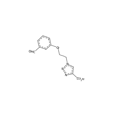 O=Cc1cccc(OCCn2cc(C(=O)O)nn2)c1